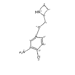 Nc1cc(OCC2CCN2)cnc1Cl